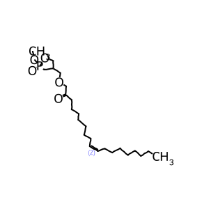 CCCCCCCC/C=C\CCCCCCCC(=O)COCC1COP(=O)(OC)C1